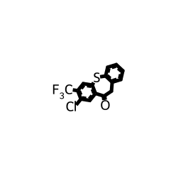 O=C1Cc2ccccc2Sc2cc(C(F)(F)F)c(Cl)cc21